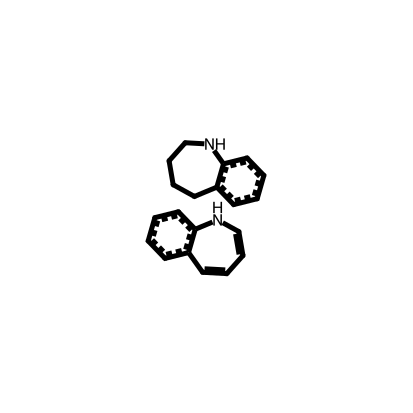 C1=CNc2ccccc2C=C1.c1ccc2c(c1)CCCCN2